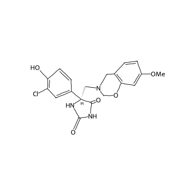 COc1ccc2c(c1)OCN(C[C@@]1(c3ccc(O)c(Cl)c3)NC(=O)NC1=O)C2